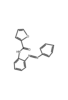 O=C(Nc1ccccc1/N=N/c1ccccc1)c1ccco1